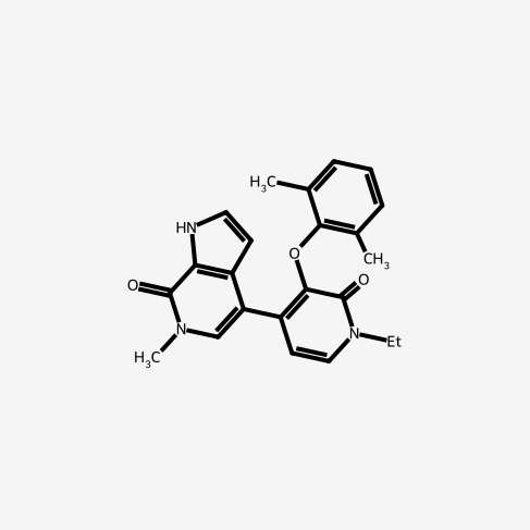 CCn1ccc(-c2cn(C)c(=O)c3[nH]ccc23)c(Oc2c(C)cccc2C)c1=O